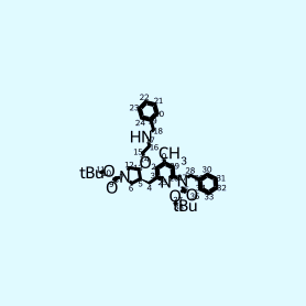 Cc1cc(C[C@H]2CN(C(=O)OC(C)(C)C)C[C@H]2OCCNCc2ccccc2)nc(N(Cc2ccccc2)C(=O)OC(C)(C)C)c1